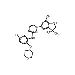 CC1(C)CNc2c(C#N)cc(-c3ccnc(Nc4cc(Cl)ccc4OC4CCOCC4)n3)cc21